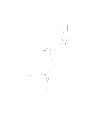 O=C(I)CC(=O)NO